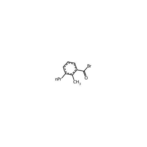 CCCc1cccc(C(=O)Br)c1C